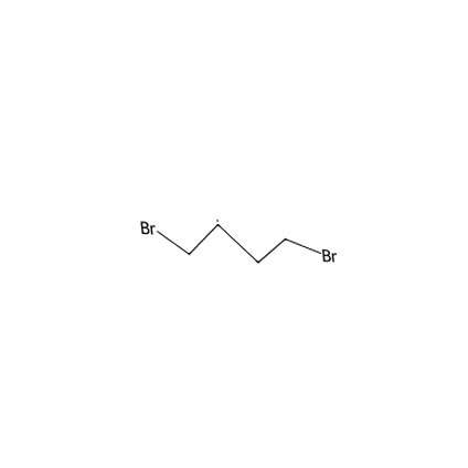 BrC[CH]CCBr